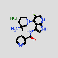 CC1(N)CCCN(c2c(F)cnc3[nH]cc(NC(=O)c4cccnc4)c23)C1.Cl